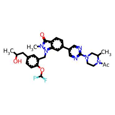 CC(=O)N1CCN(c2ncc(-c3ccc4c(=O)n(C)n(Cc5cc(CC(C)O)ccc5OC(F)F)c4c3)cn2)CC1C